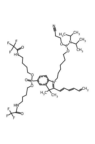 C=C/C=C/C=C/C1=[N+](CCCCCCOP(OCCC#N)N(C(C)C)C(C)C)c2ccc(P(=O)(OCCCCNC(=O)C(F)(F)F)OCCCCNC(=O)C(F)(F)F)cc2C1(C)C